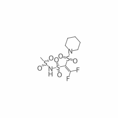 CS(=O)(=O)NS(=O)(=O)C(=C(F)F)S(=O)(=O)N1CCCCC1